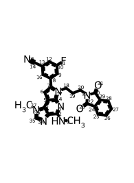 CNc1nc2c(cc(-c3cc(F)cc(C#N)c3)n2CCCN2C(=O)c3ccccc3C2=O)c2c1ncn2C